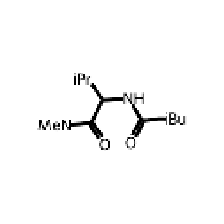 CCC(C)C(=O)NC(C(=O)NC)C(C)C